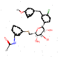 CCOc1ccc(Cc2cc([C@@H]3O[C@H](CSc4cccc(NC(=O)CC)c4)[C@@H](O)[C@H](O)[C@H]3O)ccc2Cl)cc1